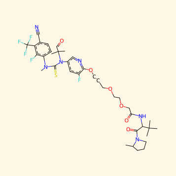 CC1CCCN1C(=O)C(NC(=O)COCCOCCCOc1ncc(N(C(=S)N(C)c2ccc(C#N)c(C(F)(F)F)c2F)C(C)(C)C=O)cc1F)C(C)(C)C